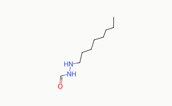 CCCCCCCCNNC=O